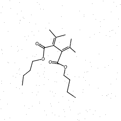 CCCCOC(=O)C(=C(C)C)C(C(=O)OCCCC)=C(C)C